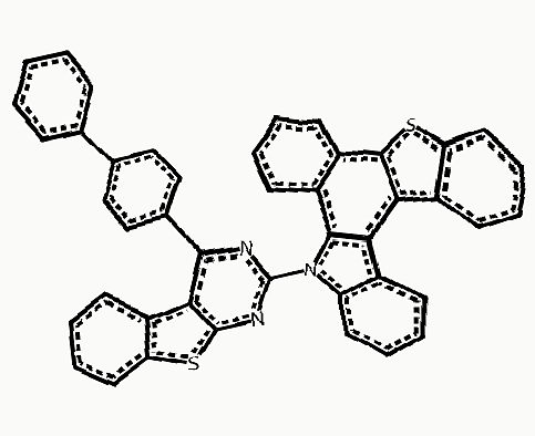 c1ccc(-c2ccc(-c3nc(-n4c5ccccc5c5c6c7ccccc7sc6c6ccccc6c54)nc4sc5ccccc5c34)cc2)cc1